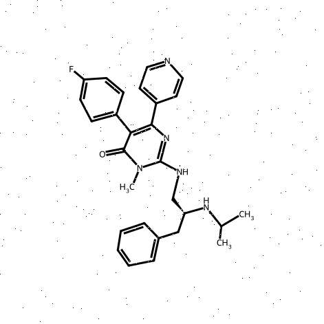 CC(C)N[C@H](CNc1nc(-c2ccncc2)c(-c2ccc(F)cc2)c(=O)n1C)Cc1ccccc1